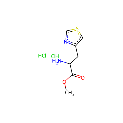 COC(=O)C(N)Cc1cscn1.Cl.Cl